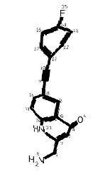 NCc1cc(=O)c2cc(C#Cc3ccc(F)cc3)ccc2[nH]1